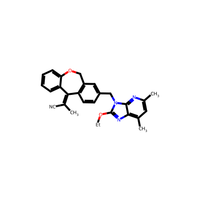 CCOc1nc2c(C)cc(C)nc2n1Cc1ccc2c(c1)COc1ccccc1C2=C(C)C#N